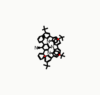 CC(C)(C)c1ccc2c(c1)c1cc(C(C)(C)C)ccc1n2-c1c(-c2ccccc2)c(C#N)c(-c2ccccc2)c(-n2c3ccc(C(C)(C)C)cc3c3cc(C(C)(C)C)ccc32)c1-n1c2ccccc2c2ccccc21